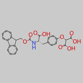 O=C(N[C@@H](Cc1ccc(OC(C(=O)O)C(=O)O)cc1)C(=O)O)OCC1c2ccccc2-c2ccccc21